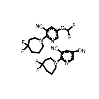 N#Cc1cc(O)cnc1N1CCCC(F)(F)CC1.N#Cc1cc(OC(F)F)cnc1N1CCCC(F)(F)CC1